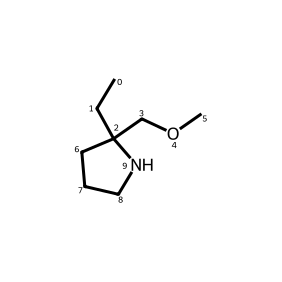 CCC1(COC)CCCN1